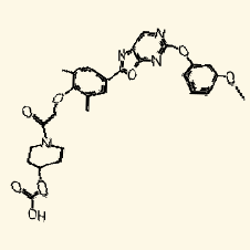 COc1cccc(Oc2ncc3nc(-c4cc(C)c(OCC(=O)N5CCC(OC(=O)O)CC5)c(C)c4)oc3n2)c1